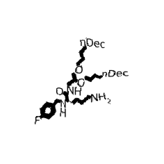 CCCCCCCCCCCCCCOCC(CNC(=O)[C@H](CCCCN)NCc1ccc(F)cc1)OCCCCCCCCCCCCCC